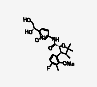 COc1c([C@H]2[C@H](C(=O)Nc3ccc([C@H](O)CO)[n+]([O-])c3)OC(C)(C)[C@H]2C)ccc(F)c1C